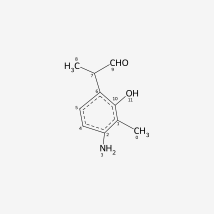 Cc1c(N)ccc(C(C)C=O)c1O